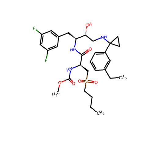 CCCCS(=O)(=O)C[C@@H](NC(=O)OC)C(=O)N[C@@H](Cc1cc(F)cc(F)c1)[C@H](O)CNC1(c2cccc(CC)c2)CC1